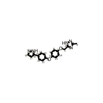 Cc1n[nH]c(COc2ccc(Oc3ccc(-c4ccn[nH]4)cc3)cc2)n1